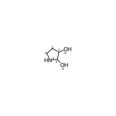 OC1CCNC1O